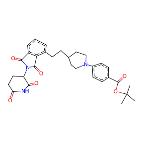 CC(C)(C)OC(=O)c1ccc(N2CCC(CCc3cccc4c3C(=O)N(C3CCC(=O)NC3=O)C4=O)CC2)cc1